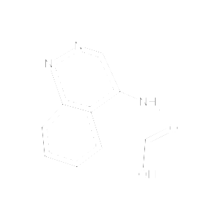 Nc1cnnc2ccccc12.O=CO